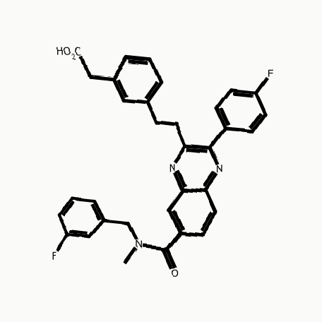 CN(Cc1cccc(F)c1)C(=O)c1ccc2nc(-c3ccc(F)cc3)c(CCc3cccc(CC(=O)O)c3)nc2c1